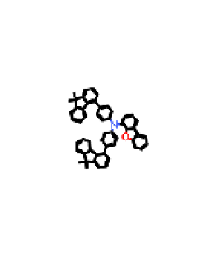 CC1(C)c2ccccc2-c2c(-c3ccc(N(c4ccc(-c5cccc6c5-c5ccccc5C6(C)C)cc4)c4cccc5c4oc4ccccc45)cc3)cccc21